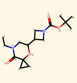 CCN1CC(C2CN(C(=O)OC(C)(C)C)C2)OC2(CC2)C1=O